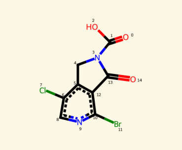 O=C(O)N1Cc2c(Cl)cnc(Br)c2C1=O